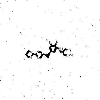 COC/C(C=N)=C/Nc1cc(C2CC2c2cnc(-c3ncccn3)nc2)cc(F)c1F